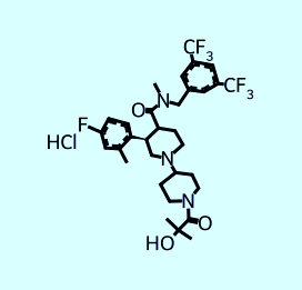 Cc1cc(F)ccc1[C@@H]1CN(C2CCN(C(=O)C(C)(C)O)CC2)CCC1C(=O)N(C)Cc1cc(C(F)(F)F)cc(C(F)(F)F)c1.Cl